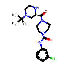 CC(C)(C)N1CCN[C@@H](C(=O)N2CCN(C(=O)Nc3cccc(Cl)c3)CC2)C1